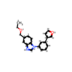 CCOCc1ccc2c(c1)ncn2-c1cccc(-c2ccoc2)c1